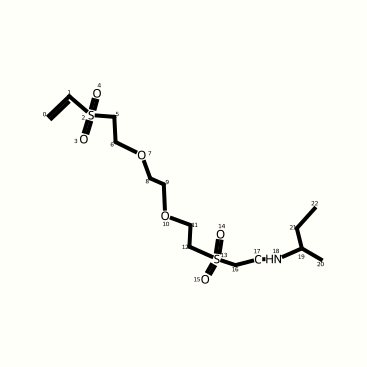 C=CS(=O)(=O)CCOCCOCCS(=O)(=O)CCNC(C)CC